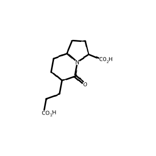 O=C(O)CCC1CCC2CCC(C(=O)O)N2C1=O